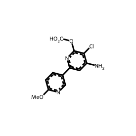 COc1ccc(-c2cc(N)c(Cl)c(OC(=O)O)n2)cn1